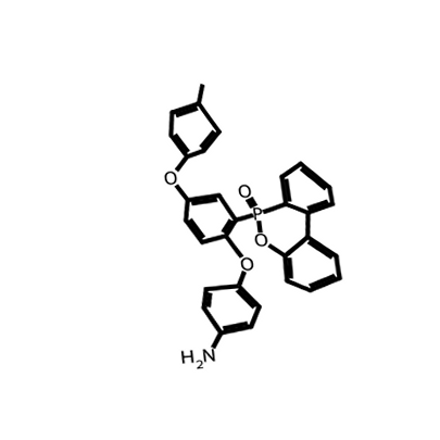 Cc1ccc(Oc2ccc(Oc3ccc(N)cc3)c(P3(=O)Oc4ccccc4-c4ccccc43)c2)cc1